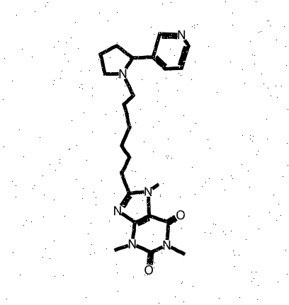 Cn1c(=O)c2c(nc(CCCCCCN3CCCC3c3cccnc3)n2C)n(C)c1=O